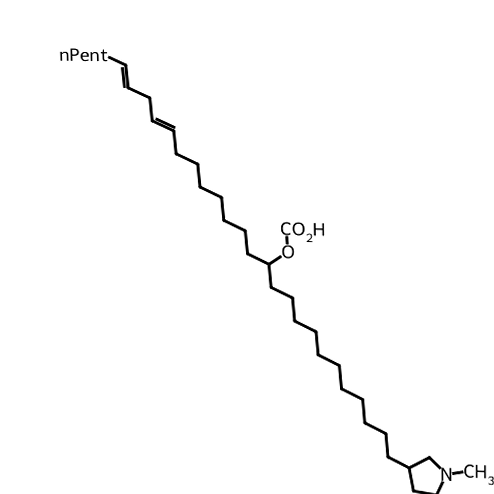 CCCCCC=CCC=CCCCCCCCC(CCCCCCCCCCCC1CCN(C)C1)OC(=O)O